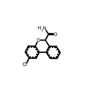 NC(=O)C1Oc2ccc(Cl)cc2-c2ccccc21